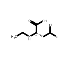 CCN[C@@H](CC(Cl)Cl)C(=O)O